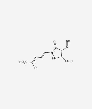 CC/C(=C\C=C\N1NC(C(=O)O)C(N=N)C1=O)S(=O)(=O)O